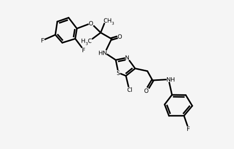 CC(C)(Oc1ccc(F)cc1F)C(=O)Nc1nc(CC(=O)Nc2ccc(F)cc2)c(Cl)s1